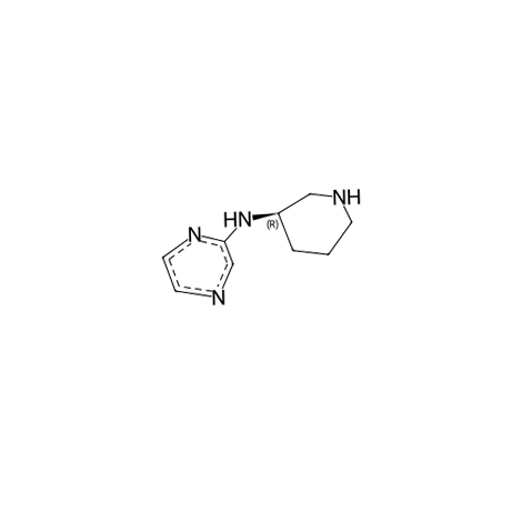 c1cnc(N[C@@H]2CCCNC2)cn1